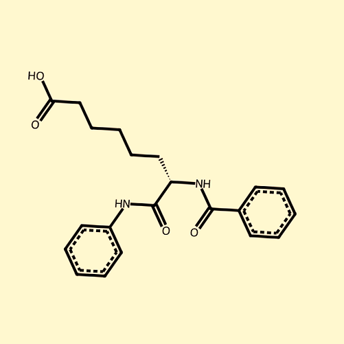 O=C(O)CCCCC[C@H](NC(=O)c1ccccc1)C(=O)Nc1ccccc1